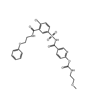 COCCNC(=O)Oc1ccc(C(=O)NS(=O)(=O)c2ccc(Cl)c(C(=O)NCCOc3ccccc3)c2)cn1